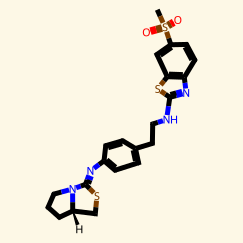 CS(=O)(=O)c1ccc2nc(NCCc3ccc(/N=C4\SC[C@@H]5CCCN45)cc3)sc2c1